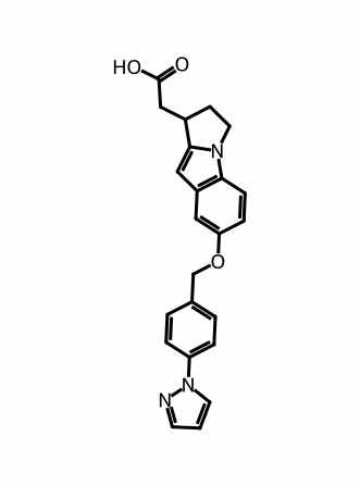 O=C(O)CC1CCn2c1cc1cc(OCc3ccc(-n4cccn4)cc3)ccc12